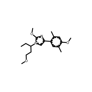 CCC(CCOC)n1cc(-c2cc(C)c(OC)cc2C)nc1OC